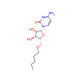 CCCCCOC[C@H]1O[C@@H](n2ccc(N)nc2=O)[C@H](O)[C@@H]1O